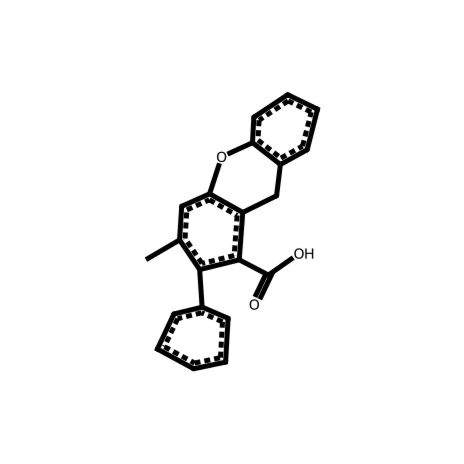 Cc1cc2c(c(C(=O)O)c1-c1ccccc1)Cc1ccccc1O2